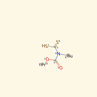 CCCOC(=O)N(C(=S)S)C(C)CC